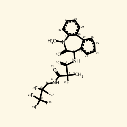 CN1C(=O)C(NC(=O)C(C)(F)C(=O)NCC(F)(F)C(F)(F)F)c2ccccc2-c2ccccc21